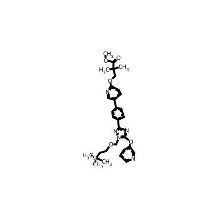 COC(=O)C(C)(C)COc1ccc(-c2ccc(-c3nc(Oc4cccnc4)n(COCC[Si](C)(C)C)n3)cc2)cn1